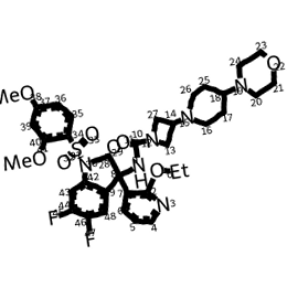 CCOc1ncccc1C1(NC(=O)N2CC(N3CCC(N4CCOCC4)CC3)C2)C(=O)N(S(=O)(=O)c2ccc(OC)cc2OC)c2cc(F)c(F)cc21